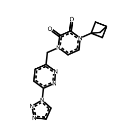 O=c1c(=O)n(C23CC(C2)C3)ccn1Cc1ccc(-n2ccnn2)nn1